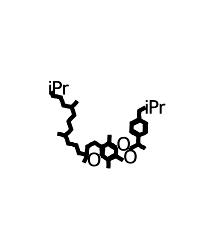 Cc1c(C)c2c(c(C)c1OC(=O)C(C)c1ccc(CC(C)C)cc1)CCC(C)(CCCC(C)CCCC(C)CCCC(C)C)O2